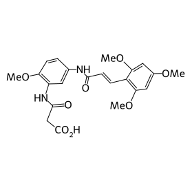 COc1cc(OC)c(C=CC(=O)Nc2ccc(OC)c(NC(=O)CC(=O)O)c2)c(OC)c1